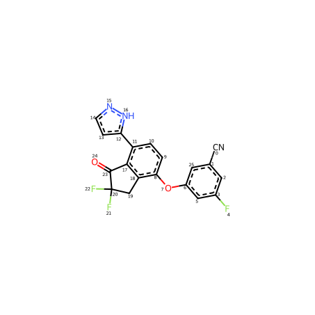 N#Cc1cc(F)cc(Oc2ccc(-c3ccn[nH]3)c3c2CC(F)(F)C3=O)c1